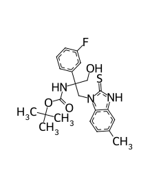 Cc1ccc2c(c1)[nH]c(=S)n2CC(CO)(NC(=O)OC(C)(C)C)c1cccc(F)c1